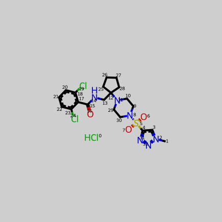 Cl.Cn1cc(S(=O)(=O)N2CCN(C3(CNC(=O)c4c(Cl)cccc4Cl)CCCC3)CC2)nn1